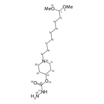 COC(CCCCCCCCN1CCC(OC(=O)NN)CC1)OC